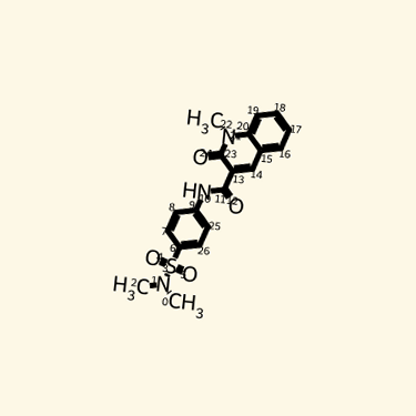 CN(C)S(=O)(=O)c1ccc(NC(=O)c2cc3ccccc3n(C)c2=O)cc1